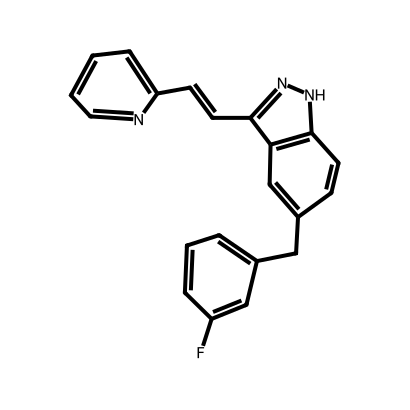 Fc1cccc(Cc2ccc3[nH]nc(C=Cc4ccccn4)c3c2)c1